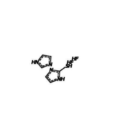 F.F.Sc1ncc[nH]1.c1c[nH]cn1